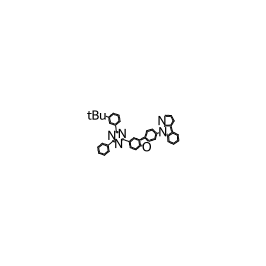 CC(C)(C)c1cccc(-c2nc(-c3ccccc3)nc(-c3ccc4oc5cc(-n6c7ccccc7c7cccnc76)ccc5c4c3)n2)c1